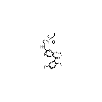 CCS(=O)(=O)N1CC[C@H](Nc2ncc(C(=O)c3cc(F)ccc3OC)c(N)n2)C1